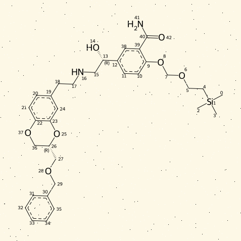 C[Si](C)(C)CCOCOc1ccc([C@@H](O)CNCCc2ccc3c(c2)O[C@H](COCc2ccccc2)CO3)cc1C(N)=O